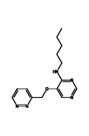 CCCCCNc1ncncc1OCc1cccnn1